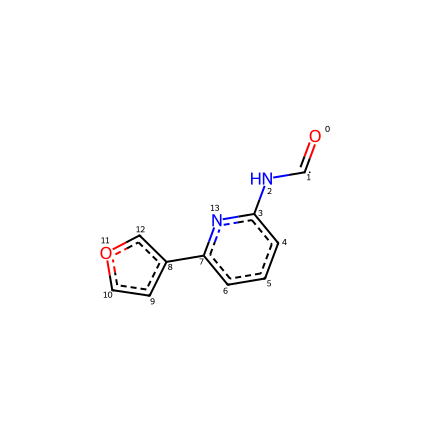 O=[C]Nc1cccc(-c2ccoc2)n1